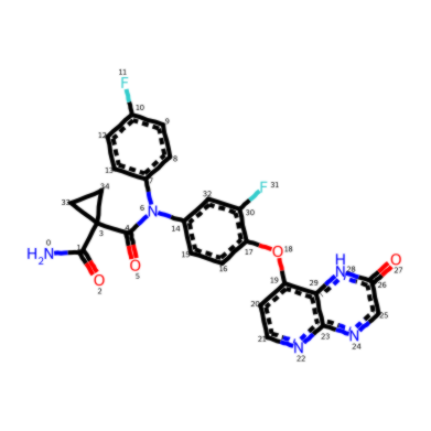 NC(=O)C1(C(=O)N(c2ccc(F)cc2)c2ccc(Oc3ccnc4ncc(=O)[nH]c34)c(F)c2)CC1